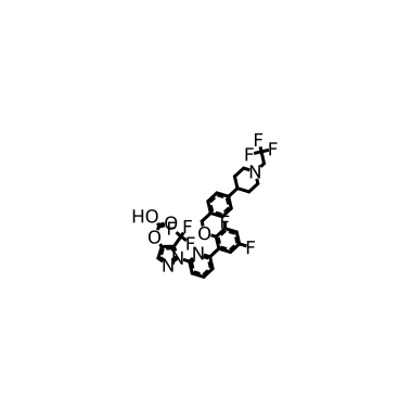 O=C(O)Oc1cnn(-c2cccc(-c3cc(F)cc(F)c3OCc3ccc(C4CCN(CC(F)(F)F)CC4)cc3)n2)c1C(F)(F)F